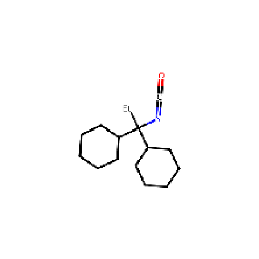 CCC(N=C=O)(C1CCCCC1)C1CCCCC1